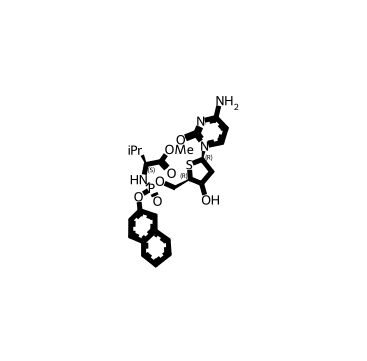 COC(=O)[C@@H](NP(=O)(OC[C@H]1S[C@@H](n2ccc(N)nc2=O)CC1O)Oc1ccc2ccccc2c1)C(C)C